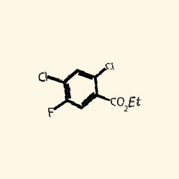 CCOC(=O)c1cc(F)c(Cl)cc1Cl